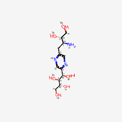 N[C@@H](Cc1cnc([C@@H](O)[C@H](O)[C@H](O)CO)cn1)[C@H](O)CO